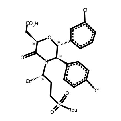 CC[C@@H](CCS(=O)(=O)C(C)(C)C)N1C(=O)[C@@H](CC(=O)O)O[C@H](c2cccc(Cl)c2)[C@H]1c1ccc(Cl)cc1